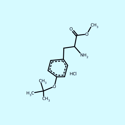 COC(=O)C(N)Cc1ccc(OC(C)(C)C)cc1.Cl